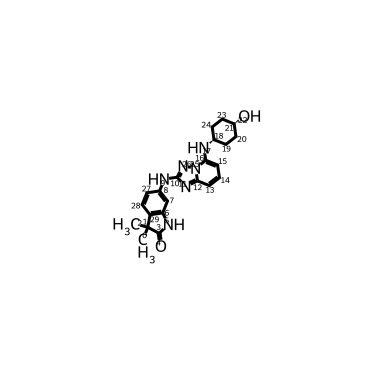 CC1(C)C(=O)Nc2cc(Nc3nc4cccc(N[C@H]5CC[C@@H](O)CC5)n4n3)ccc21